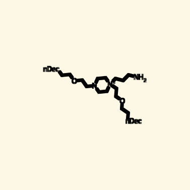 CCCCCCCCCCCCOCCN1CC[N+](CCCN)(CCOCCCCCCCCCCCC)CC1